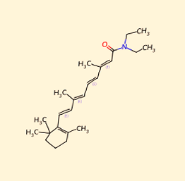 CCN(CC)C(=O)/C=C(C)/C=C/C=C(C)/C=C/C1=C(C)CCCC1(C)C